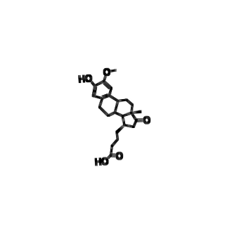 COc1cc2c(cc1O)CCC1C2CC[C@]2(C)C(=O)C[C@@H](CCCC(=O)O)C12